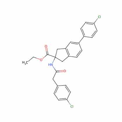 CCOC(=O)C1(NC(=O)Cc2ccc(Cl)cc2)Cc2ccc(-c3ccc(Cl)cc3)cc2C1